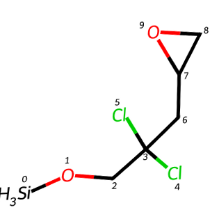 [SiH3]OCC(Cl)(Cl)CC1CO1